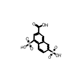 O=C(O)c1cc(S(=O)(=O)O)c2ccc(S(=O)(=O)O)cc2c1